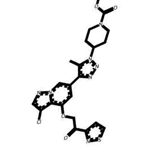 Cc1c(-c2cc(OCC(=O)c3ccsn3)c3c(Cl)cnn3c2)nnn1C1CCN(C(=O)OC(C)(C)C)CC1